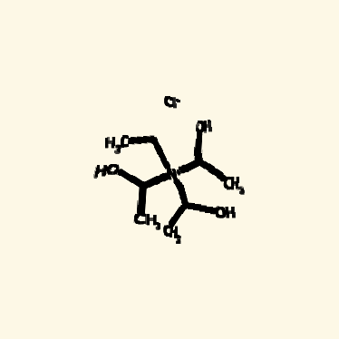 CC[N+](C(C)O)(C(C)O)C(C)O.[Cl-]